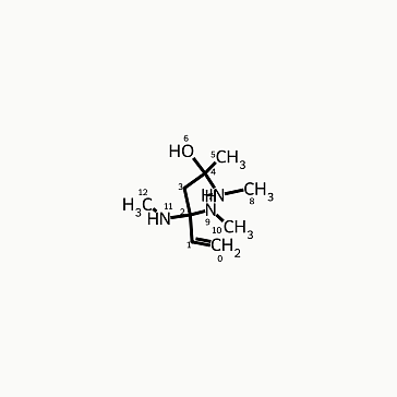 C=CC(CC(C)(O)NC)(NC)NC